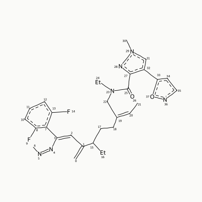 C=C(/C=C(\N=N/C)c1c(F)cccc1F)C(CC)CC/C(=C/C)CN(CC)C(=O)c1nn(C)cc1-c1ccno1